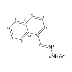 CC(=O)NN=Cc1cccc2ccccc12